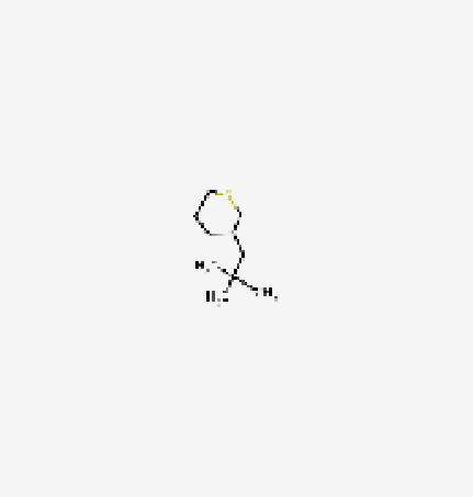 CC(C)(C)CC1CCCSC1